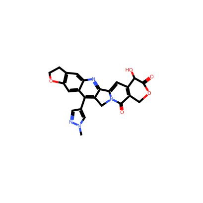 Cn1cc(-c2c3c(nc4cc5c(cc24)OCC5)-c2cc4c(c(=O)n2C3)COC(=O)C4O)cn1